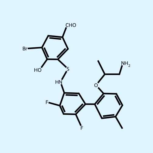 Cc1ccc(OC(C)CN)c(-c2cc(NSc3cc(C=O)cc(Br)c3O)c(F)cc2F)c1